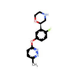 Cc1ccc(Oc2ccc(F)c([C@@H]3CNCCO3)c2)nn1